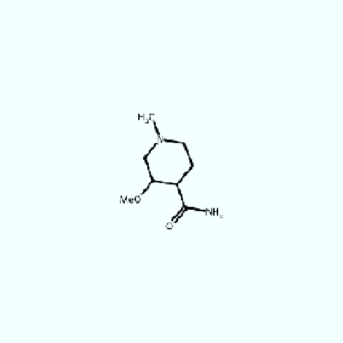 COC1CN(C)CCC1C(N)=O